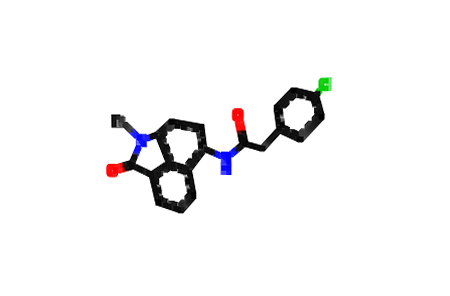 CCN1C(=O)c2cccc3c(NC(=O)Cc4ccc(Cl)cc4)ccc1c23